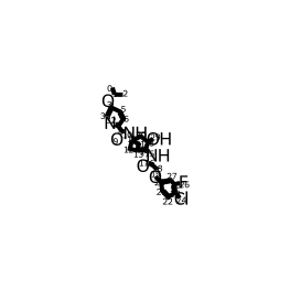 CC(C)Oc1ccc(C(=O)NC23CC(=C(NC(=O)COc4ccc(Cl)c(F)c4)C(O)C2)C3)nc1